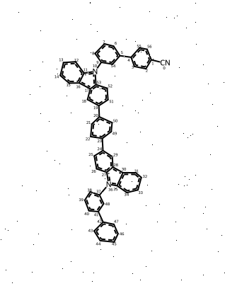 N#Cc1ccc(-c2cccc(-n3c4ccccc4c4cc(-c5ccc(-c6ccc7c(c6)c6ccccc6n7-c6cccc(-c7ccccc7)c6)cc5)ccc43)c2)cc1